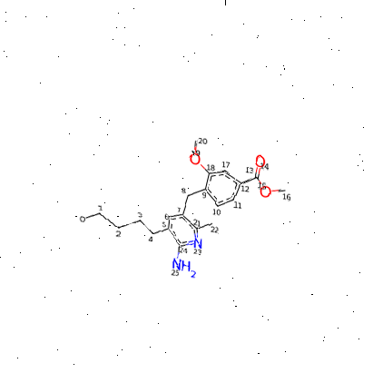 CCCCCc1cc(Cc2ccc(C(=O)OC)cc2OC)c(C)nc1N